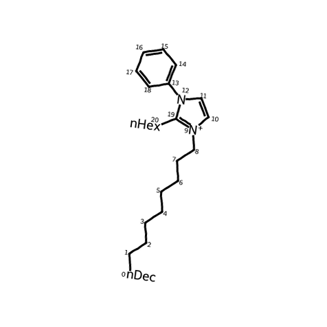 CCCCCCCCCCCCCCCCCC[n+]1ccn(-c2ccccc2)c1CCCCCC